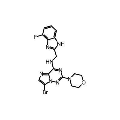 Fc1cccc2[nH]c(CNc3nc(N4CCOCC4)nn4c(Br)cnc34)nc12